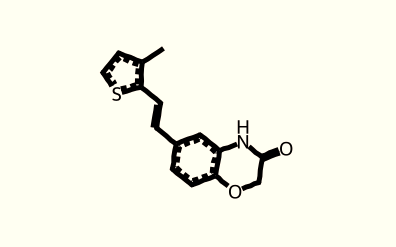 Cc1ccsc1C=Cc1ccc2c(c1)NC(=O)CO2